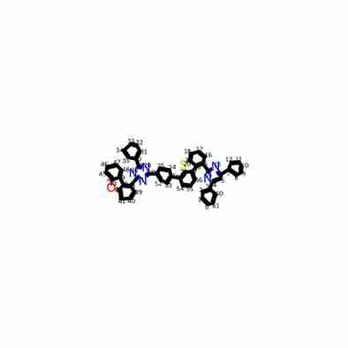 c1ccc(-c2cc(-c3ccccc3)nc(-c3cccc4sc5c(-c6ccc(-c7nc(-c8ccccc8)nc(-c8cccc9oc%10ccccc%10c89)n7)cc6)cccc5c34)n2)cc1